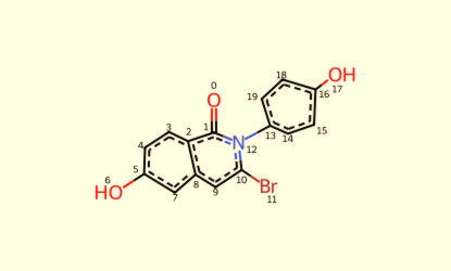 O=c1c2ccc(O)cc2cc(Br)n1-c1ccc(O)cc1